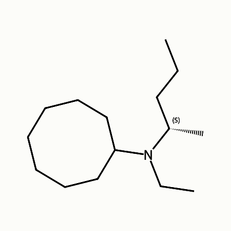 CCC[C@H](C)N(CC)C1CCCCCCC1